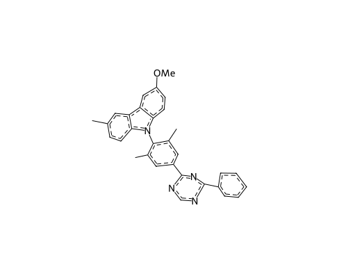 COc1ccc2c(c1)c1cc(C)ccc1n2-c1c(C)cc(-c2ncnc(-c3ccccc3)n2)cc1C